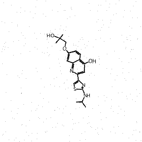 CC(C)Nc1nc(-c2cc(O)c3ccc(OCC(C)(C)O)cc3n2)cs1